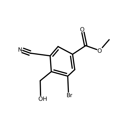 COC(=O)c1cc(Br)c(CO)c(C#N)c1